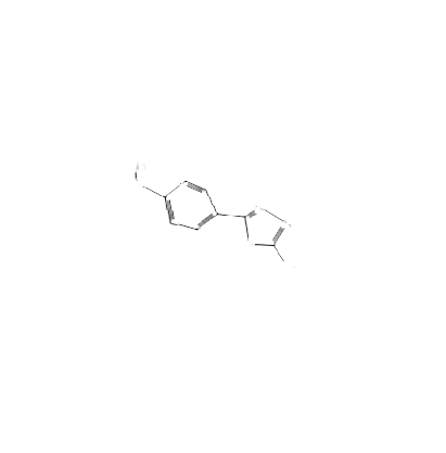 Cc1nnc(-c2ccc(OC(C)C)cc2)o1